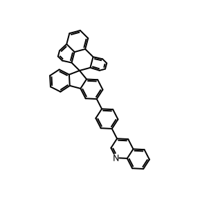 c1ccc2c(c1)-c1cc(-c3ccc(-c4cnc5ccccc5c4)cc3)ccc1C21c2ccccc2-c2cccc3cccc1c23